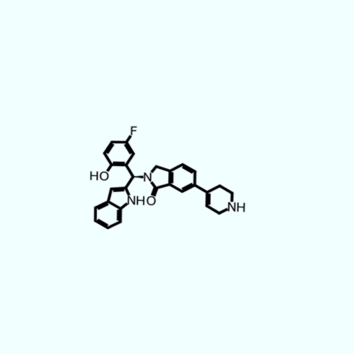 O=C1c2cc(C3=CCNCC3)ccc2CN1[C@@H](c1cc2ccccc2[nH]1)c1cc(F)ccc1O